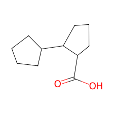 O=C(O)C1CCCC1C1CCCC1